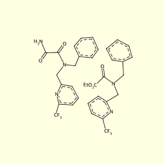 CCOC(=O)C(=O)N(Cc1ccccc1)Cc1cccc(C(F)(F)F)n1.NC(=O)C(=O)N(Cc1ccccc1)Cc1cccc(C(F)(F)F)n1